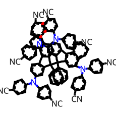 [C-]#[N+]c1ccc(N(c2ccc(C#N)cc2)c2ccc3c(c2)C(c2ccccc2)(C2(c4ccccc4)c4cc(N(c5ccc(C#N)cc5)c5ccc([N+]#[C-])cc5)ccc4-c4c2cc(N(c2ccc(C#N)cc2)c2ccc([N+]#[C-])cc2)c2ccccc42)c2cc(N(c4ccc(C#N)cc4)c4ccc([N+]#[C-])cc4)c4ccccc4c2-3)cc1